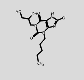 CCCCCn1c(=O)n(CC(O)CO)c(=O)c2[nH]c(Cl)nc21